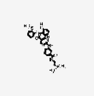 COc1ccccc1ON(C(=O)c1cnc(Nc2cccc(C(=O)NCCN(C)C)c2)nc1)c1c(C)cccc1C